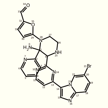 NC1(c2ccccn2)C(c2nccc(-c3cnc4ccc(Br)cn34)n2)NCCN1c1ccc(C=O)o1